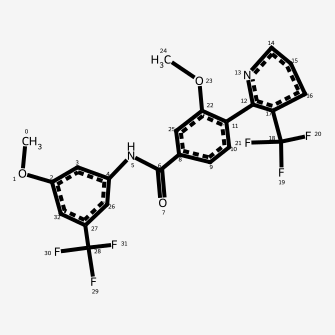 COc1cc(NC(=O)c2ccc(-c3ncccc3C(F)(F)F)c(OC)c2)cc(C(F)(F)F)c1